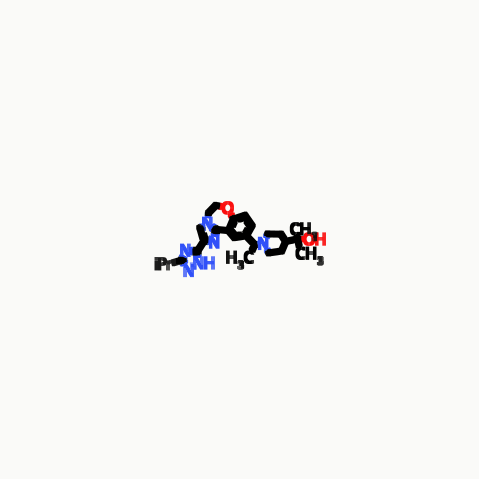 CC(C)c1n[nH]c(-c2cn3c(n2)-c2cc(C(C)N4CCC(C(C)(C)O)CC4)ccc2OCC3)n1